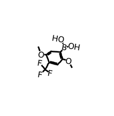 COc1cc(C(F)(F)F)c(OC)cc1B(O)O